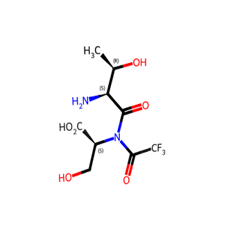 C[C@@H](O)[C@H](N)C(=O)N(C(=O)C(F)(F)F)[C@@H](CO)C(=O)O